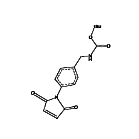 CC(C)(C)OC(=O)NCc1ccc(N2C(=O)C=CC2=O)cc1